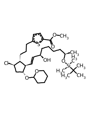 COC(=O)c1ccc(CCC[C@@H]2[C@@H](C=C[C@H](O)CCCC[C@@H](C)O[Si](C)(C)C(C)(C)C)[C@H](OC3CCCCO3)C[C@H]2Cl)s1